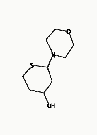 OC1CCSC(N2CCOCC2)C1